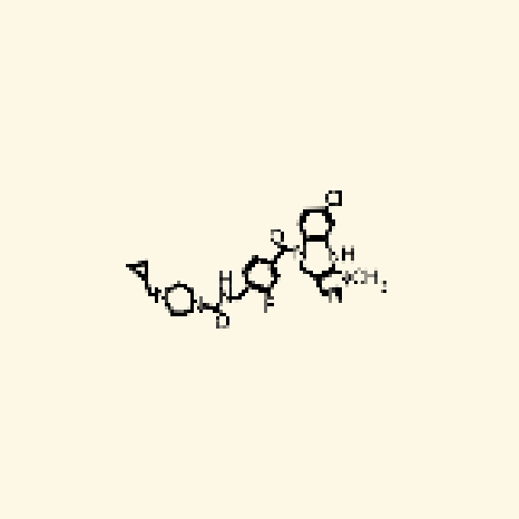 Cn1ncc2c1Nc1cc(Cl)ccc1N(C(=O)c1ccc(CNC(=O)N3CCN(CC4CC4)CC3)c(F)c1)C2